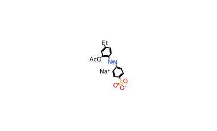 CCc1ccc(/N=N/c2ccc(S(=O)(=O)[O-])cc2)c(OC(C)=O)c1.[Na+]